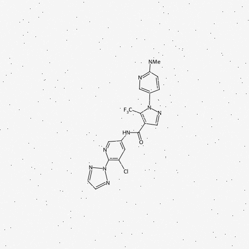 CNc1ccc(-n2ncc(C(=O)Nc3cnc(-n4nccn4)c(Cl)c3)c2C(F)(F)F)cn1